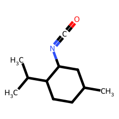 CC1CCC(C(C)C)C(N=C=O)C1